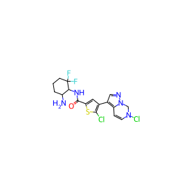 NC1CCCC(F)(F)C1NC(=O)c1cc(-c2cnn3c2C=CN(Cl)C3)c(Cl)s1